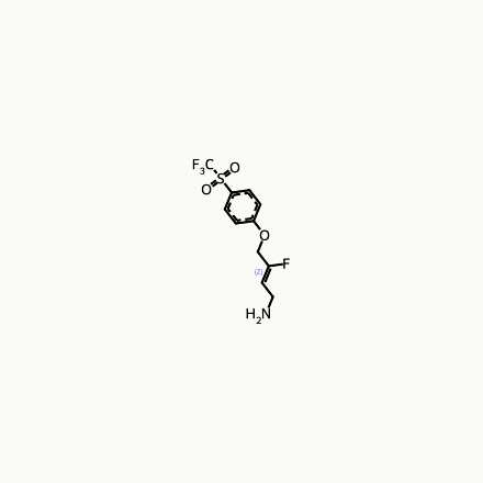 NC/C=C(\F)COc1ccc(S(=O)(=O)C(F)(F)F)cc1